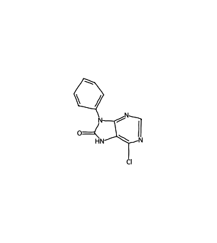 O=c1[nH]c2c(Cl)ncnc2n1-c1ccccc1